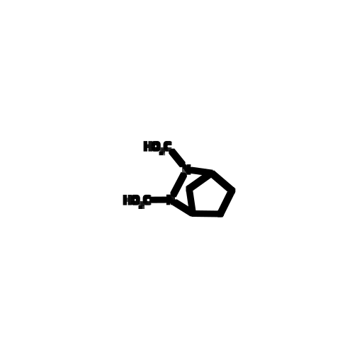 O=C(O)N1C2CCC(C2)N1C(=O)O